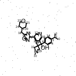 CC(C)c1ccc(C(O)(c2cncc(-c3noc(CC4CCOCC4)n3)c2)C2(C)CN(C)C2)cc1